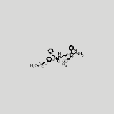 CCOC(=O)COc1cccc(CN(CCN2CCCCC2)C(=O)NCCCCn2c(CCOC)nc3c(N)nc4ccccc4c32)c1